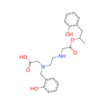 CC(Cc1ccccc1O)OC(=O)CNCCN(CC(=O)O)Cc1ccccc1O